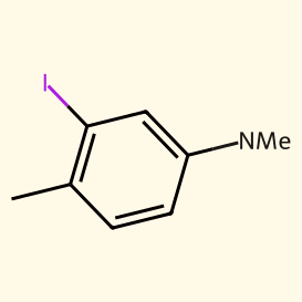 CNc1ccc(C)c(I)c1